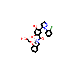 CN(Cc1ccccc1OCCO)C(=O)c1cc(-c2ccnn2-c2ccccc2F)c(O)cc1O